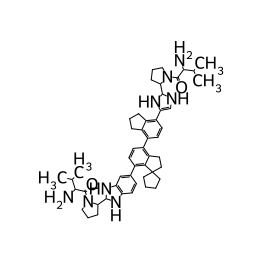 CC(C)C(N)C(=O)N1CCCC1C1NC=C(c2ccc(-c3ccc(-c4ccc5c(c4)NC(C4CCCN4C(=O)C(N)C(C)C)N5)c4c3CCC43CCCC3)c3c2CCC3)N1